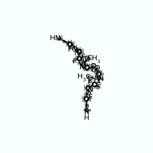 COCCn1c(Cc2cc(F)c(-c3cccc(OCc4ccc(C#CC5CNC5)cc4F)n3)cc2F)nc2ccc(C(=O)OC(=O)c3ccc4nc(Cc5cc(F)c(-c6cccc(OCc7ccc(C#CC8CNC8)cc7F)n6)cc5F)n(CCOC)c4c3)cc21